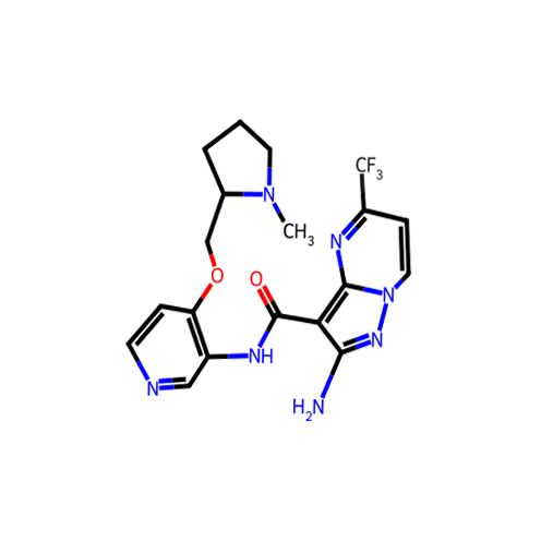 CN1CCCC1COc1ccncc1NC(=O)c1c(N)nn2ccc(C(F)(F)F)nc12